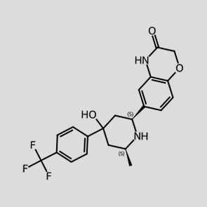 C[C@H]1CC(O)(c2ccc(C(F)(F)F)cc2)C[C@@H](c2ccc3c(c2)NC(=O)CO3)N1